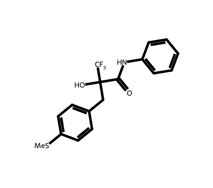 CSc1ccc(CC(O)(C(=O)Nc2ccccc2)C(F)(F)F)cc1